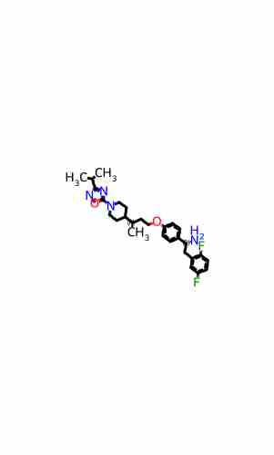 CC(C)c1noc(N2CCC([C@H](C)CCOc3ccc([C@H](N)Cc4cc(F)ccc4F)cc3)CC2)n1